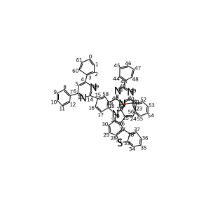 c1ccc(-c2cc(-c3ccccc3)nc(-c3ccc(-n4c5ccccc5c5c6c(ccc54)sc4ccccc46)c(-c4nc(-c5ccccc5)nc(-c5ccccc5)n4)c3)n2)cc1